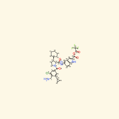 NCc1c(Cl)cc(C(=O)N2CC[C@@H](C3CCCCC3)[C@H]2C(=O)Nc2ccc3[nH]c(C(=O)OC(=O)C(F)(F)F)cc3c2)cc1C1CC1